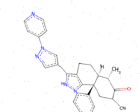 C[C@@H]1C(=O)C(C#N)C[C@]2(c3ccccc3)c3n[nH]c(-c4cnn(-c5ccncc5)c4)c3CC[C@@H]12